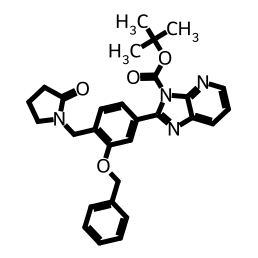 CC(C)(C)OC(=O)n1c(-c2ccc(CN3CCCC3=O)c(OCc3ccccc3)c2)nc2cccnc21